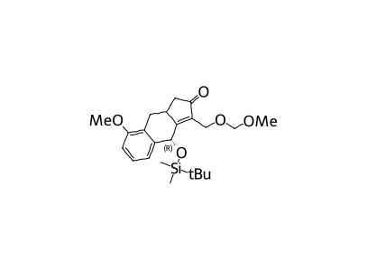 COCOCC1=C2C(CC1=O)Cc1c(OC)cccc1[C@H]2O[Si](C)(C)C(C)(C)C